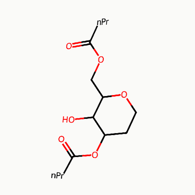 CCCC(=O)OCC1OCCC(OC(=O)CCC)C1O